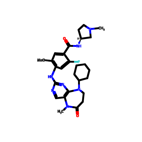 COc1cc(C(=O)N[C@@H]2CCN(C)C2)c(F)cc1Nc1ncc2c(n1)N(C1CCCCC1)CCC(=O)N2C